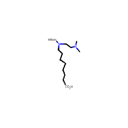 CCCCCCCCCN(CCCCCCCC(=O)O)CCN(C)C